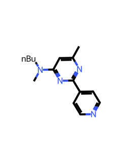 CCCCN(C)c1cc(C)nc(-c2ccncc2)n1